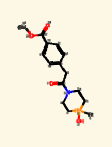 CC[PH]1(O)CCN(C(=O)Cc2ccc(C(=O)OC(C)(C)C)cc2)CC1